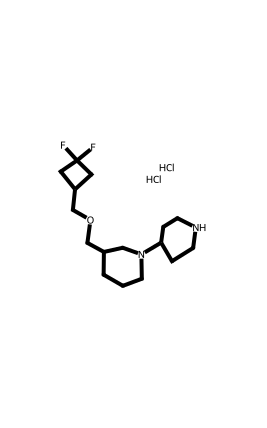 Cl.Cl.FC1(F)CC(COCC2CCCN(C3CCNCC3)C2)C1